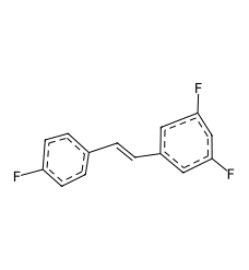 Fc1ccc(C=Cc2cc(F)cc(F)c2)cc1